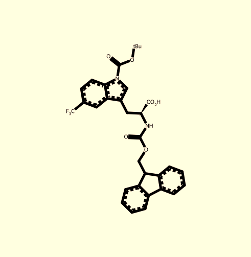 CC(C)(C)OC(=O)n1cc(C[C@H](NC(=O)OCC2c3ccccc3-c3ccccc32)C(=O)O)c2cc(C(F)(F)F)ccc21